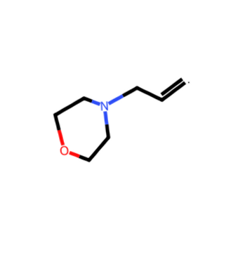 [CH]=CCN1CCOCC1